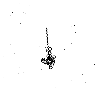 CCCCCCCCCCCCCCCC(=O)Oc1ccc(C[C@H]2C(=O)N(Cc3cccc4cccnc34)CC3N2C(=O)CN(C)N3C(=O)NCc2ccccc2)cc1